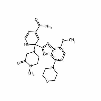 COc1ccc(N2CCOCC2)c2sc(C3(N4CCN(C)C(=O)C4)C=C(C(N)=O)C=CN3)nc12